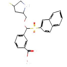 COC(=O)c1cccc(C(OCC2CC(S)CN2)S(=O)(=O)c2ccc3ccccc3c2)c1